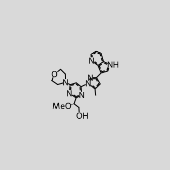 CO[C@@H](CO)c1nc(N2CCOCC2)cc(-n2nc(-c3c[nH]c4cccnc34)cc2C)n1